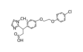 Cn1ccnc1C(CS(=O)O)c1ccc(OCCOc2ccc(Cl)cc2)cc1